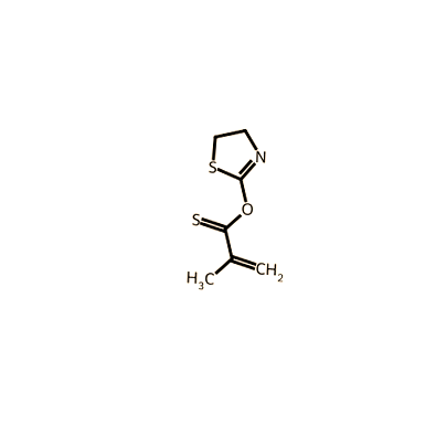 C=C(C)C(=S)OC1=NCCS1